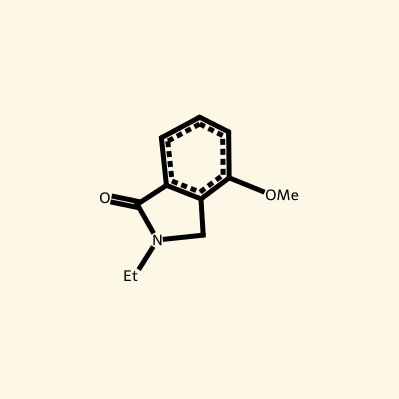 CCN1Cc2c(OC)cccc2C1=O